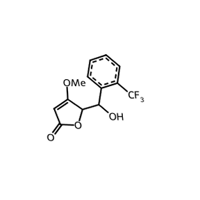 COC1=CC(=O)OC1C(O)c1ccccc1C(F)(F)F